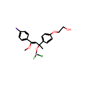 CO/C(=C\C(C)(OB(F)F)c1ccc(OCCO)cc1)c1ccc(I)cc1